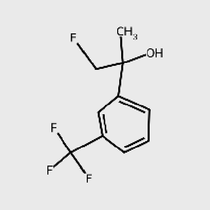 CC(O)(CF)c1cccc(C(F)(F)F)c1